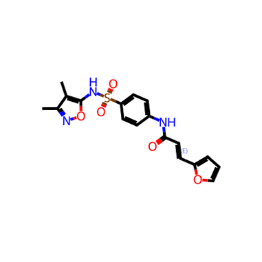 Cc1noc(NS(=O)(=O)c2ccc(NC(=O)/C=C/c3ccco3)cc2)c1C